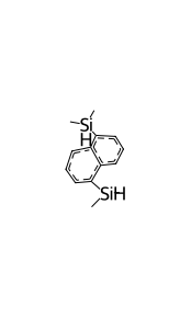 C[SiH](C)c1cccc2c([SiH](C)C)cccc12